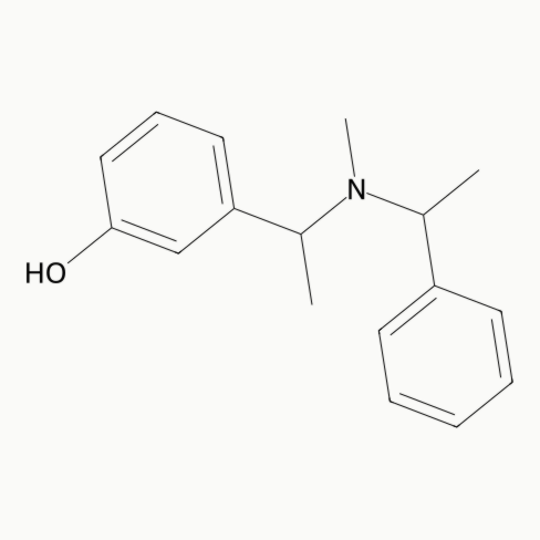 CC(c1ccccc1)N(C)C(C)c1cccc(O)c1